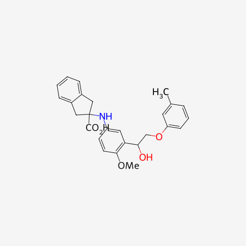 COc1ccc(NC2(C(=O)O)Cc3ccccc3C2)cc1C(O)COc1cccc(C)c1